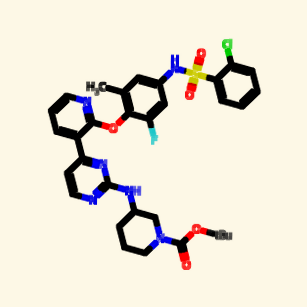 Cc1cc(NS(=O)(=O)c2ccccc2Cl)cc(F)c1Oc1ncccc1-c1ccnc(NC2CCCN(C(=O)OC(C)(C)C)C2)n1